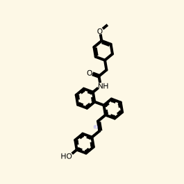 COC1=CCC(CC(=O)Nc2ccccc2-c2ccccc2/C=C/c2ccc(O)cc2)C=C1